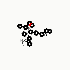 CC1(C)c2ccccc2-c2ccc(N(c3ccccc3)c3cc(-c4ccc(-c5ccc6oc7c8ccccc8ccc7c6c5)cc4)cc(N(c4ccccc4)c4ccc(-c5ccccc5)cc4-c4ccccc4)c3)cc21